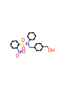 O=[N+]([O-])c1ccccc1S(=O)(=O)N(Cc1ccc(CO)cc1)c1ccccc1